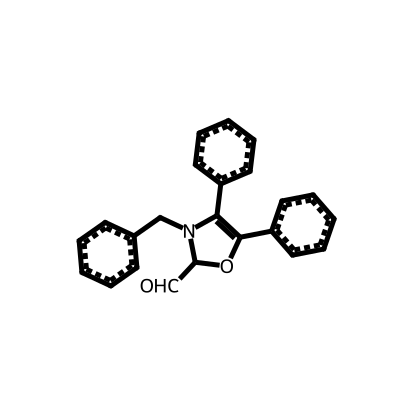 O=CC1OC(c2ccccc2)=C(c2ccccc2)N1Cc1ccccc1